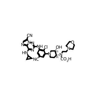 N#Cc1cc(Nc2nc(NC3CC3)c3ncc(C#N)n3n2)c(Cl)c(N2CC[C@@H](N(CCN3CCOCC3)C(=O)O)[C@@H](O)C2)c1